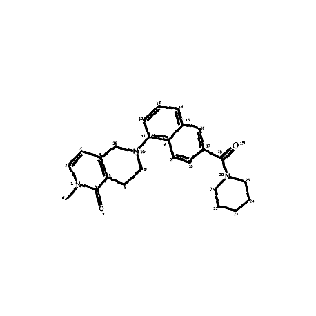 Cn1ccc2c(c1=O)CCN(c1cccc3cc(C(=O)N4CCCCC4)ccc13)C2